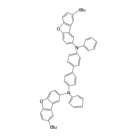 CC(C)(C)c1ccc2oc3ccc(N(c4ccccc4)c4ccc(-c5ccc(N(c6ccccc6)c6ccc7oc8ccc(C(C)(C)C)cc8c7c6)cc5)cc4)cc3c2c1